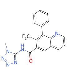 Cn1nnnc1NC(=O)c1cc2cccnc2c(-c2ccccc2)c1C(F)(F)F